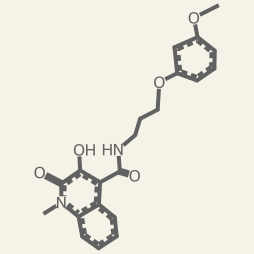 COc1cccc(OCCCNC(=O)c2c(O)c(=O)n(C)c3ccccc23)c1